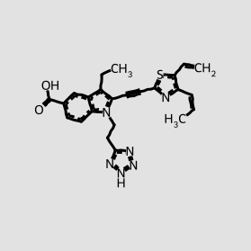 C=Cc1sc(C#Cc2c(CC)c3cc(C(=O)O)ccc3n2CCc2nn[nH]n2)nc1/C=C\C